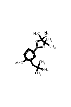 COc1ccc(B2OC(C)(C)C(C)(C)O2)cc1CC(C)(C)N